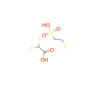 O=C(O)C(F)F.O=S(=O)(O)CCF